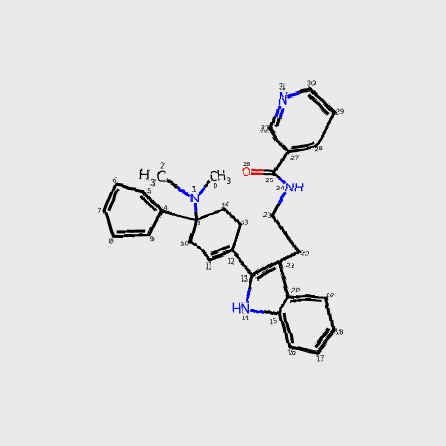 CN(C)C1(c2ccccc2)CC=C(c2[nH]c3ccccc3c2CCNC(=O)c2cccnc2)CC1